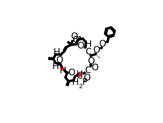 C=C1C[C@@H]2C[C@@H]3CC(=C)C[C@H](/C=C/C(C)(C)[C@]4(OC)O[C@@H](CCC4=O)C[C@H]([C@@H](C)OCOCc4ccccc4)OC(=O)C[C@H](OP)C[C@H](C1)O2)O3